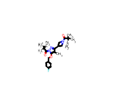 Cc1c(C2CN(C(=O)C(C)(C)C)C2)nn(C(=O)C(C)(C)C)c1OCc1ccc(F)cc1